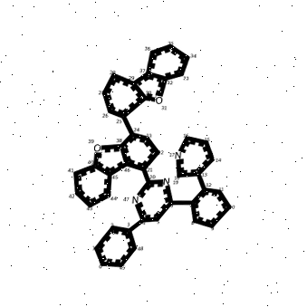 c1ccc(-c2cc(-c3ccccc3-c3cccnc3)nc(-c3ccc(-c4cccc5c4oc4ccccc45)c4oc5ccccc5c34)n2)cc1